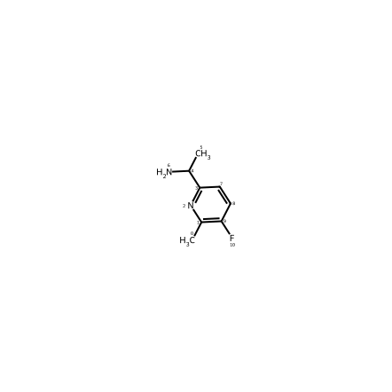 Cc1nc(C(C)N)ccc1F